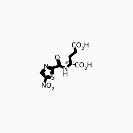 O=C(O)CC[C@@H](NC(=O)c1ncc([N+](=O)[O-])s1)C(=O)O